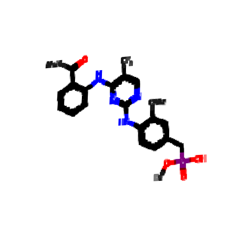 CCOP(=O)(O)Cc1ccc(Nc2ncc(C(F)(F)F)c(Nc3ccccc3C(=O)NC)n2)c(OC)c1